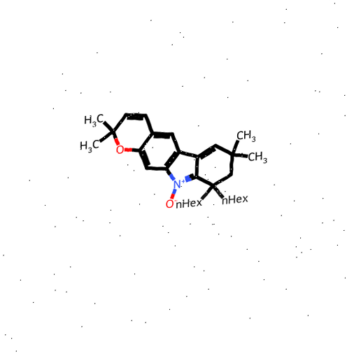 CCCCCCC1(CCCCCC)CC(C)(C)C=C2C1=[N+]([O-])c1cc3c(cc12)C=CC(C)(C)O3